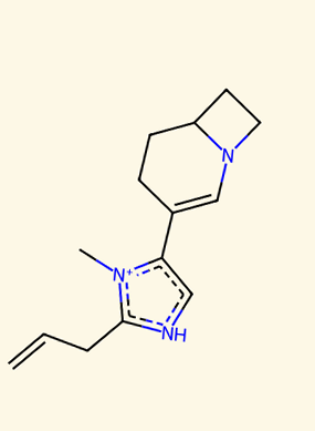 C=CCc1[nH]cc(C2=CN3CCC3CC2)[n+]1C